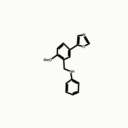 COc1ccc(-c2cnco2)cc1CNc1[c]cccc1